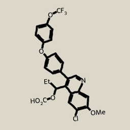 CCC(OC(=O)O)c1c(-c2ccc(Oc3ccc(OC(F)(F)F)cc3)cc2)cnc2cc(OC)c(Cl)cc12